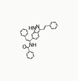 O=C(NC(=Cc1ccccc1)c1ccc2c(C=Cc3ccccc3)n[nH]c2c1)c1ccccc1